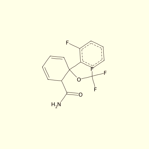 NC(=O)C1C=CC=CC1(OC(F)(F)F)c1ccccc1F